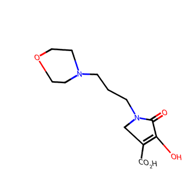 O=C(O)C1=C(O)C(=O)N(CCCN2CCOCC2)C1